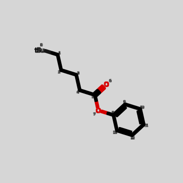 CC(C)(C)CCCCC(=O)Oc1ccccc1